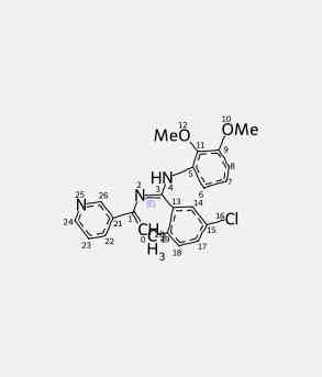 C=C(/N=C(/Nc1cccc(OC)c1OC)c1cc(Cl)ccc1C)c1cccnc1